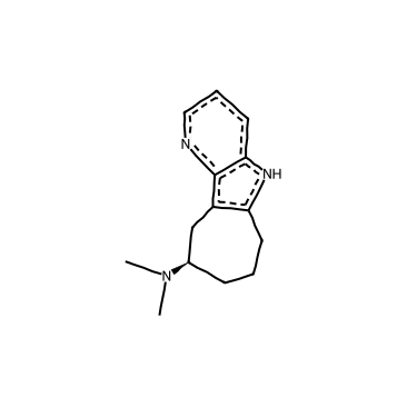 CN(C)[C@@H]1CCCc2[nH]c3cccnc3c2C1